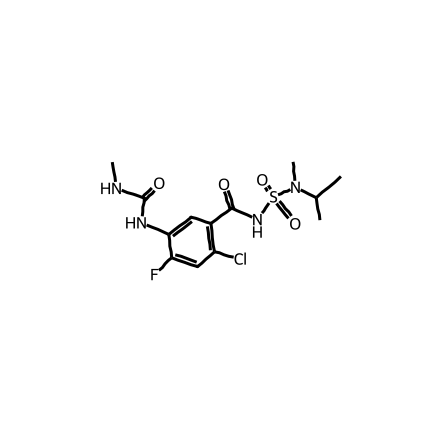 CNC(=O)Nc1cc(C(=O)NS(=O)(=O)N(C)C(C)C)c(Cl)cc1F